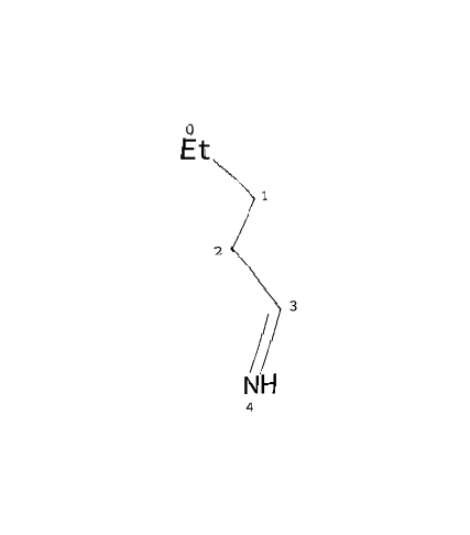 CCCCC=N